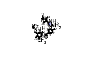 Cc1ccc(C(=O)Nc2cc(CNCC(C)C)c(C)c(C(F)(F)F)c2)cc1N(N)/C=C(\N)c1cnn(C)c1C